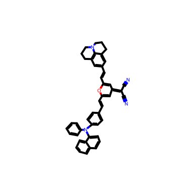 N#CC(C#N)=C1C=C(/C=C/c2ccc(N(c3ccccc3)c3cccc4ccccc34)cc2)OC(/C=C/c2cc3c4c(c2)CCCN4CCC3)=C1